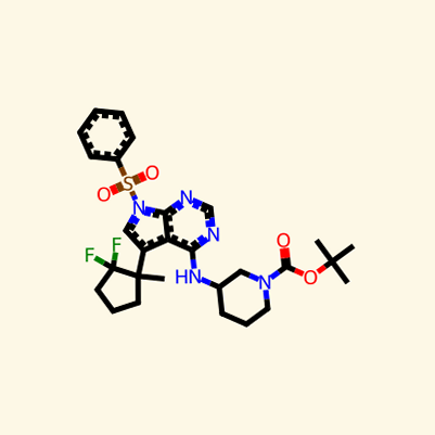 CC(C)(C)OC(=O)N1CCCC(Nc2ncnc3c2c(C2(C)CCCC2(F)F)cn3S(=O)(=O)c2ccccc2)C1